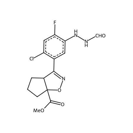 COC(=O)C12CCCC1C(c1cc(NNC=O)c(F)cc1Cl)=NO2